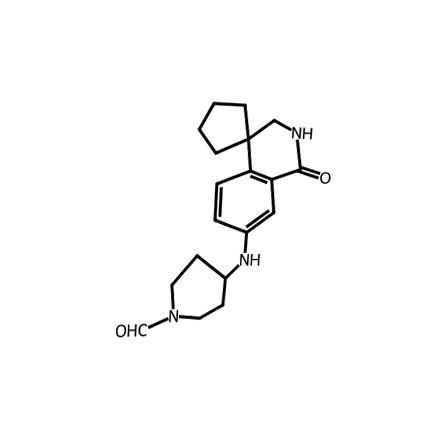 O=CN1CCC(Nc2ccc3c(c2)C(=O)NCC32CCCC2)CC1